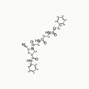 N#CC1CC(C(=O)Nc2ccccc2)CN1C(=O)CNC(=O)CCNC(=O)OCc1ccccc1